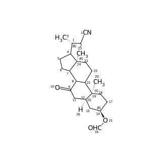 C[C@H](CC#N)C1CCC2C3C(=O)C[C@@H]4C[C@H](OC=O)CC[C@]4(C)C3CC[C@@]21C